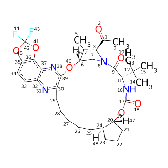 CC(=O)[C@@H]1C(C)[C@@H]2CN1C(=O)[C@H](C(C)(C)C)NC(=O)O[C@@H]1CCC[C@H]1CCCCCc1nc3ccc4c(c3nc1O2)OC(F)(F)O4